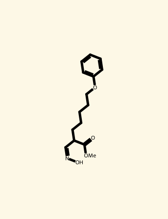 COC(=O)C(/C=N\O)CCCCCOc1ccccc1